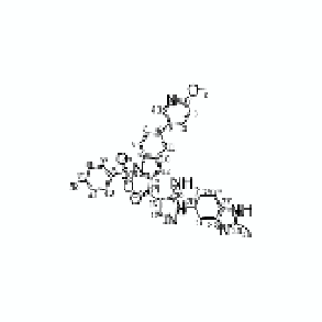 COc1ccc(-c2ccc3c(c2)cc(C(=O)c2cnn(C4C=c5nc(C)[nH]c5=CC4)c2N)n3S(=O)(=O)c2ccc(C)cc2)cn1